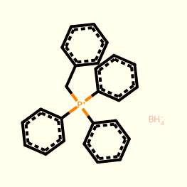 [BH4-].c1ccc(C[P+](c2ccccc2)(c2ccccc2)c2ccccc2)cc1